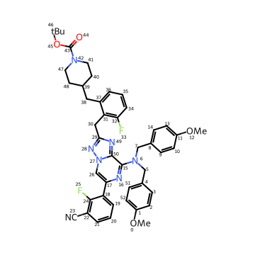 COc1ccc(CN(Cc2ccc(OC)cc2)c2nc(-c3cccc(C#N)c3F)cn3nc(Cc4c(F)cccc4CC4CCN(C(=O)OC(C)(C)C)CC4)nc23)cc1